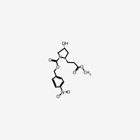 COC(=O)CC[C@@H]1C[C@@H](O)CN1C(=O)OCc1ccc([N+](=O)[O-])cc1